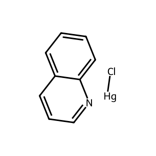 [Cl][Hg].c1ccc2ncccc2c1